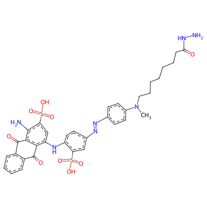 CN(CCCCCCCC(=O)NN)c1ccc(/N=N/c2ccc(Nc3cc(S(=O)(=O)O)c(N)c4c3C(=O)c3ccccc3C4=O)c(S(=O)(=O)O)c2)cc1